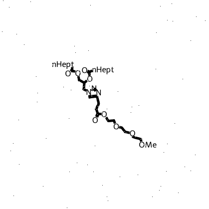 CCCCCCCC(=O)OCC(Cn1cc(CCC(=O)OCCOCCOCCOC)nn1)OC(=O)CCCCCCC